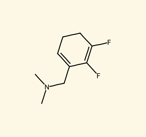 CN(C)CC1=CCCC(F)=C1F